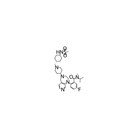 CC(C)N(C)C(=O)c1cc(F)ccc1N1CCN(C2CCN(C[C@H]3CC[C@H](NS(C)(=O)=O)CC3)CC2)Cc2ccncc21